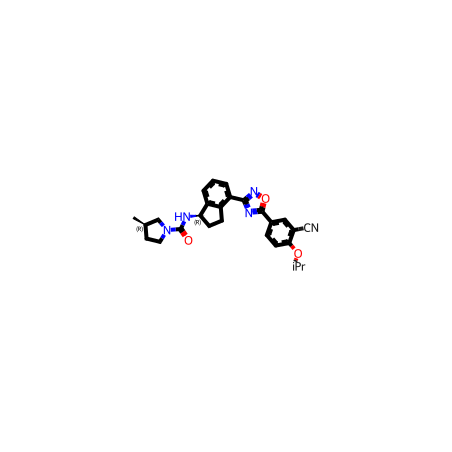 CC(C)Oc1ccc(-c2nc(-c3cccc4c3CC[C@H]4NC(=O)N3CC[C@@H](C)C3)no2)cc1C#N